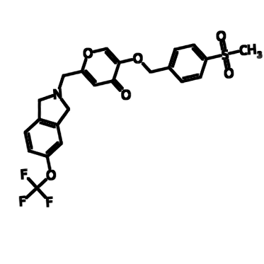 CS(=O)(=O)c1ccc(COc2coc(CN3Cc4ccc(OC(F)(F)F)cc4C3)cc2=O)cc1